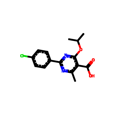 Cc1nc(-c2ccc(Cl)cc2)nc(OC(C)C)c1C(=O)O